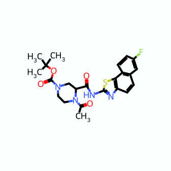 CC(=O)N1CCN(C(=O)OC(C)(C)C)CC1C(=O)Nc1nc2ccc3cc(F)ccc3c2s1